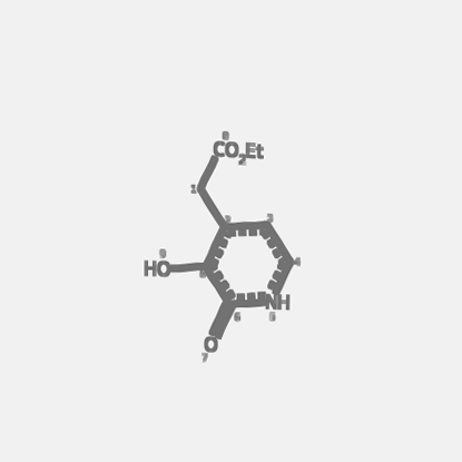 CCOC(=O)Cc1cc[nH]c(=O)c1O